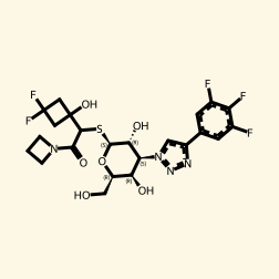 O=C(C(S[C@@H]1O[C@H](CO)[C@H](O)[C@H](n2cc(-c3cc(F)c(F)c(F)c3)nn2)[C@H]1O)C1(O)CC(F)(F)C1)N1CCC1